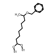 CCOC(CCCCCCC(C)OCc1ccccc1)OCC